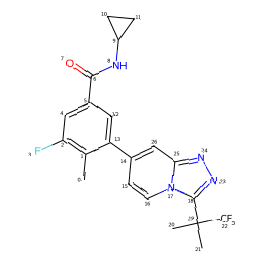 Cc1c(F)cc(C(=O)NC2CC2)cc1-c1ccn2c(C(C)(C)C(F)(F)F)nnc2c1